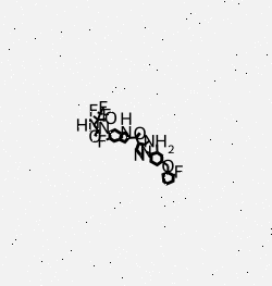 Cc1cc(Oc2ccccc2F)ccc1-n1ncc(C(=O)c2cc3cc(F)c(N4C(=O)NC(C)(C(F)(F)F)C4=O)cc3[nH]2)c1N